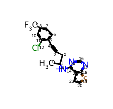 CC(CC#Cc1ccc(C(F)(F)F)cc1Cl)Nc1ncnc2sccc12